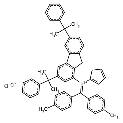 Cc1ccc([C](c2ccc(C)cc2)=[Ti+2]([C]2=CC=CC2)[c]2cc(C(C)(C)c3ccccc3)cc3c2Cc2ccc(C(C)(C)c4ccccc4)cc2-3)cc1.[Cl-].[Cl-]